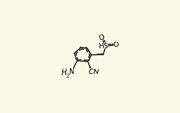 N#Cc1c(N)cccc1C[SH](=O)=O